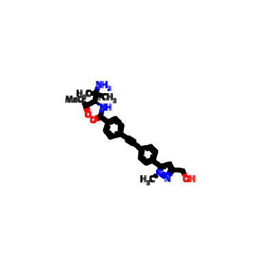 COC(=O)[C@@H](NC(=O)c1ccc(C#Cc2ccc(-c3cc(CO)nn3C)cc2)cc1)C(C)(C)N